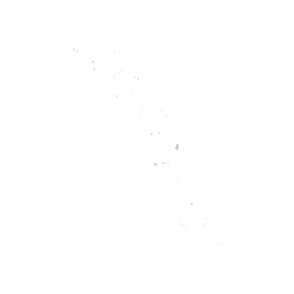 COc1ccc(/C=C/C(=O)Nc2ccc(-c3nc4ccc([N+](=O)[O-])cc4n3O)cc2)c(OC)c1